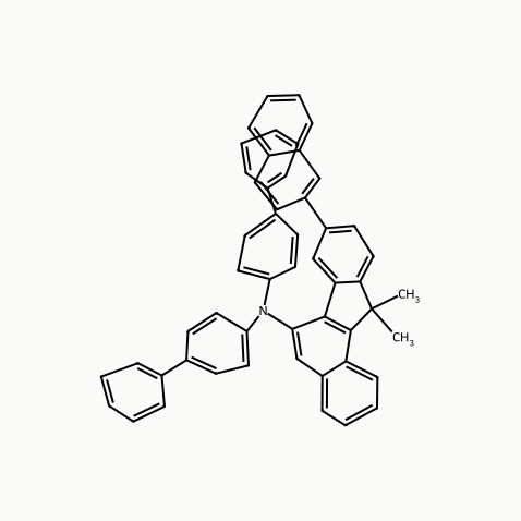 CC1(C)c2ccc(-c3ccc4ccccc4c3)cc2-c2c(N(c3ccc(-c4ccccc4)cc3)c3ccc(-c4ccccc4)cc3)cc3ccccc3c21